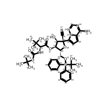 CC(C)(C)OC(=O)N[C@H](C(=O)O[C@H]1[C@@H](O)[C@](C#N)(c2ccc3c(N)ncnn23)O[C@@H]1CO[Si](c1ccccc1)(c1ccccc1)C(C)(C)C)C(C)(C)C